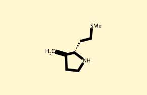 C=C1CCN[C@H]1CCSC